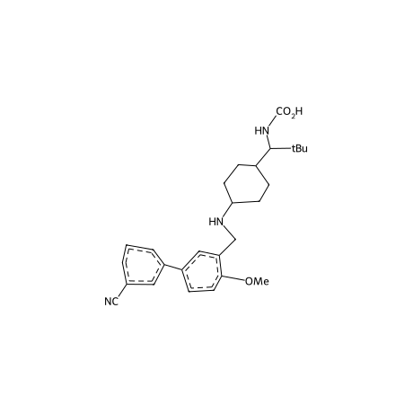 COc1ccc(-c2cccc(C#N)c2)cc1CNC1CCC(C(NC(=O)O)C(C)(C)C)CC1